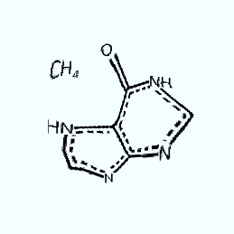 C.O=c1[nH]cnc2nc[nH]c12